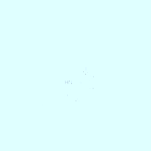 N[C@@]1(C(=O)OCc2ccc(C=Cc3ccccc3)cc2)CN[C@@H](C(=O)OCc2ccc(C=Cc3ccccc3)cc2)C1